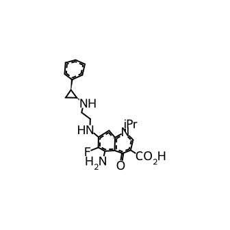 CC(C)n1cc(C(=O)O)c(=O)c2c(N)c(F)c(NCCN[C@@H]3C[C@H]3c3ccccc3)cc21